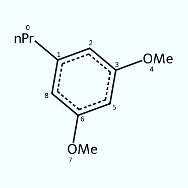 CCCc1cc(OC)cc(OC)c1